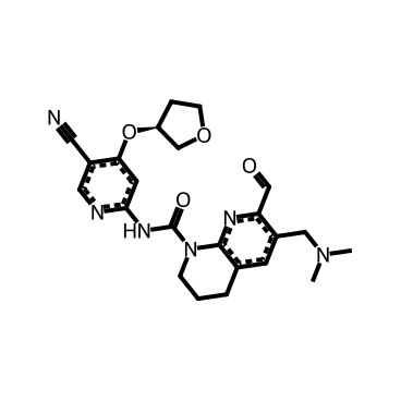 CN(C)Cc1cc2c(nc1C=O)N(C(=O)Nc1cc(O[C@H]3CCOC3)c(C#N)cn1)CCC2